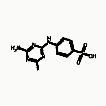 Cc1nc(N)nc(Nc2ccc(S(=O)(=O)O)cc2)n1